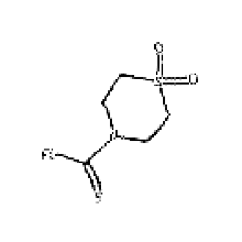 CCC(=S)N1CCS(=O)(=O)CC1